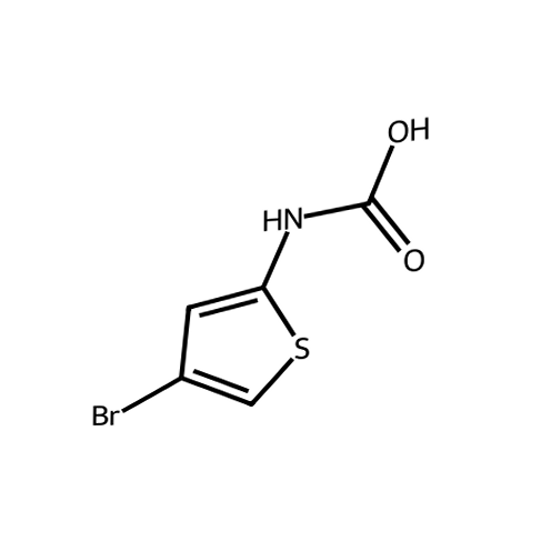 O=C(O)Nc1cc(Br)cs1